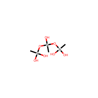 C[Si](O)(O)O[Si](C)(O)O[Si](C)(O)O